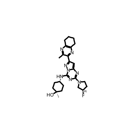 Cc1nc2c(nc1-c1cc3nc(N4CC[C@@H](F)C4)nc(N[C@H]4CC[C@](C)(O)CC4)n3n1)CCCC2